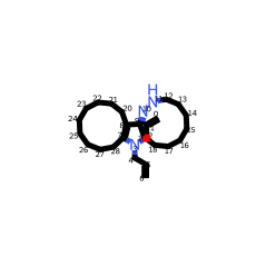 C=CCN(CC=C)C1=C(C2=NNCCCCCCCC2)CCCCCCCCC1